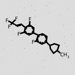 CC1CCC(c2ccc(-c3cc(F)c(/C=C/C(F)(F)F)c(F)c3)c(F)c2)CC1